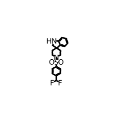 O=S(=O)(c1ccc(C(F)F)cc1)N1CCC2(CC1)CNc1ccccc12